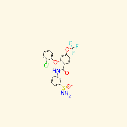 N[S+]([O-])c1cccc(NC(=O)c2ccc(OC(F)(F)F)cc2Oc2ccccc2Cl)c1